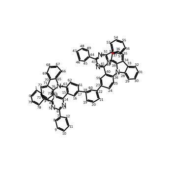 c1ccc(-c2nc(-c3ccccc3)nc(-c3cc(-c4cccc(-c5ccc(-n6c7ccccc7c7ccccc76)c(-c6nc(-c7ccccc7)nc(-c7ccccc7)n6)c5)c4)ccc3-n3c4ccccc4c4ccccc43)n2)cc1